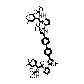 COC(=O)N[C@H](C(=O)N1CCC[C@H]1c1nc(-c2ccc(-c3ccc(-c4c[nH]c([C@@H]5CCCN5C(=O)[C@@H](NC(=O)OC)C5C[C@@H](C)O[C@H](C)C5)n4)cc3)cc2)c[nH]1)C1C[C@@H](C)O[C@H](C)C1